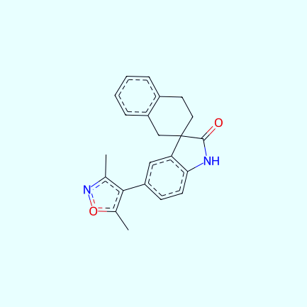 Cc1noc(C)c1-c1ccc2c(c1)C1(CCc3ccccc3C1)C(=O)N2